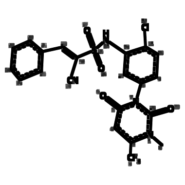 Cn1c(C(F)(F)F)cc(=O)n(-c2ccc(Cl)c(NS(=O)(=O)C(C#N)=Cc3ccccc3)c2)c1=O